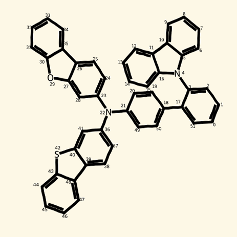 c1ccc(-n2c3ccccc3c3ccccc32)c(-c2ccc(N(c3ccc4c(c3)oc3ccccc34)c3ccc4c(c3)sc3ccccc34)cc2)c1